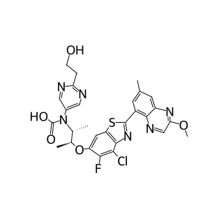 COc1cnc2c(-c3nc4c(Cl)c(F)c(O[C@@H](C)[C@@H](C)N(C(=O)O)c5cnc(CCO)nc5)cc4s3)cc(C)cc2n1